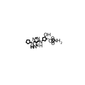 N=Nc1c(NC2CCCC2)ncnc1NC1CC(O)[C@H](COS(N)(=O)=O)C1